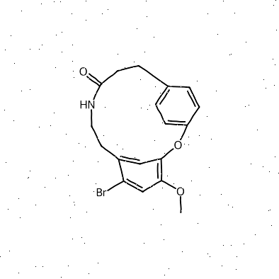 COc1cc(Br)c2cc1Oc1ccc(cc1)CCC(=O)NCC2